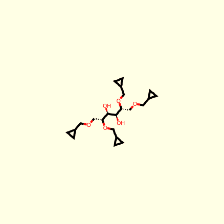 O[C@@H]([C@H](O)[C@@H](COCC1CC1)OCC1CC1)[C@@H](COCC1CC1)OCC1CC1